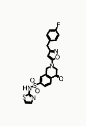 O=C1CN(c2cc(Cc3ccc(F)cc3)no2)Cc2cc(S(=O)(=O)Nc3nccs3)ccc21